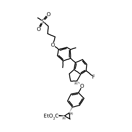 CCOC(=O)[C@@H]1C[C@H]1c1ccc(O[C@@H]2CCc3c(-c4c(C)cc(OCCCS(C)(=O)=O)cc4C)ccc(F)c32)cc1